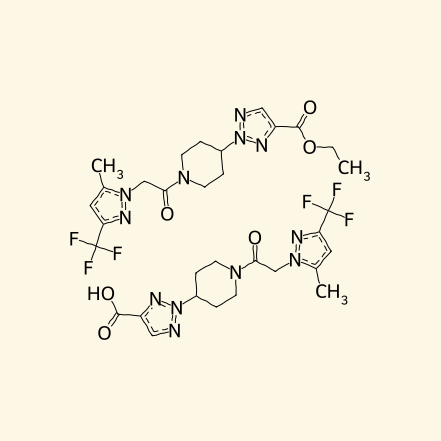 CCOC(=O)c1cnn(C2CCN(C(=O)Cn3nc(C(F)(F)F)cc3C)CC2)n1.Cc1cc(C(F)(F)F)nn1CC(=O)N1CCC(n2ncc(C(=O)O)n2)CC1